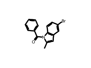 Cc1cc2cc(Br)ccc2n1C(=O)c1ccccc1